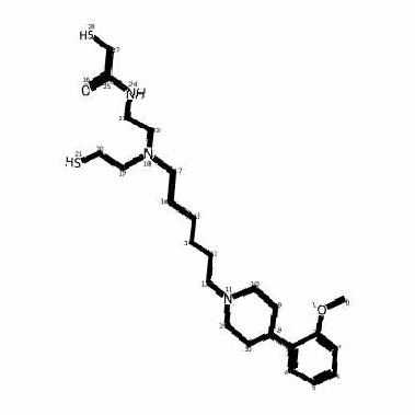 COc1ccccc1C1CCN(CCCCCCN(CCS)CCNC(=O)CS)CC1